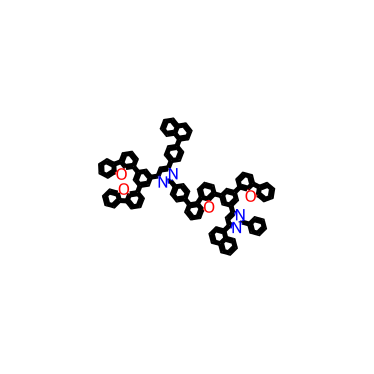 c1ccc(-c2nc(-c3cc(-c4cccc5c4oc4ccccc45)cc(-c4cccc5c4oc4cccc(-c6ccc(-c7nc(-c8ccc(-c9cccc%10ccccc9%10)cc8)cc(-c8cc(-c9cccc%10c9oc9ccccc9%10)cc(-c9cccc%10c9oc9ccccc9%10)c8)n7)cc6)c45)c3)cc(-c3cccc4ccccc34)n2)cc1